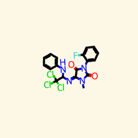 CN1C(=O)N(c2ccccc2F)C(=O)C1=NC(Nc1ccccc1)C(Cl)(Cl)Cl